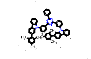 Cc1cc(C)c(-c2ccc3c4ccccc4n(-c4cccc(-c5nc(-c6ccccc6)nc(-c6cccc(-n7c8ccccc8c8ccc(-c9c(C)cc(C)cc9C)cc87)c6)n5)c4)c3c2)c(C)c1